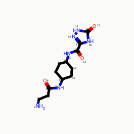 NCCC(=O)NC1CCC(NC(=O)c2n[nH]c(=O)[nH]2)CC1